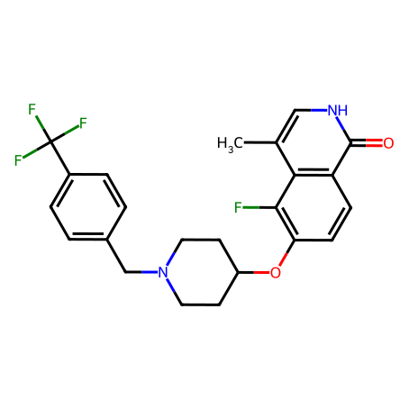 Cc1c[nH]c(=O)c2ccc(OC3CCN(Cc4ccc(C(F)(F)F)cc4)CC3)c(F)c12